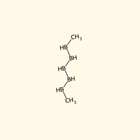 CBBBBBC